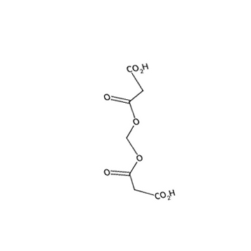 O=C(O)CC(=O)OCOC(=O)CC(=O)O